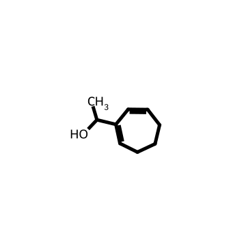 CC(O)C1=CCCCC=C1